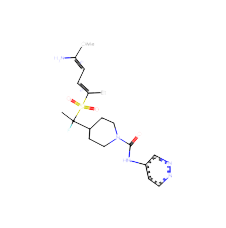 CC/C(=C\C=C(/N)OC)S(=O)(=O)C(C)(F)C1CCN(C(=O)Nc2ccnnc2)CC1